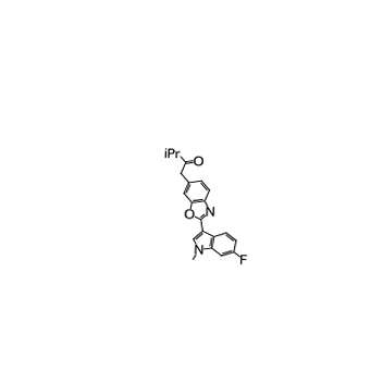 CC(C)C(=O)Cc1ccc2nc(-c3cn(C)c4cc(F)ccc34)oc2c1